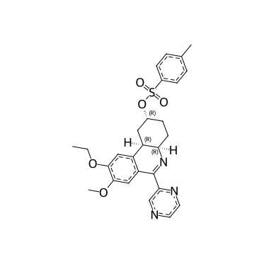 CCOc1cc2c(cc1OC)C(c1cnccn1)=N[C@@H]1CC[C@@H](OS(=O)(=O)c3ccc(C)cc3)C[C@H]21